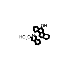 O=C(O)c1cc2ccccc2cn1.Oc1cc2c3c(ccc2c2ccccc12)CCCC3